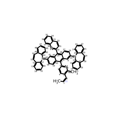 C/C=C\c1ccc(-c2c3cc(N4c5ccccc5C=Cc5ccccc54)ccc3c(-c3ccc4ccccc4n3)c3cc(N4c5ccccc5C=Cc5ccccc54)ccc23)nc1C